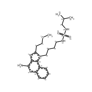 COCCc1nc2c(N)nc3ccccc3c2n1CCCCNS(=O)(=O)NCC(C)C